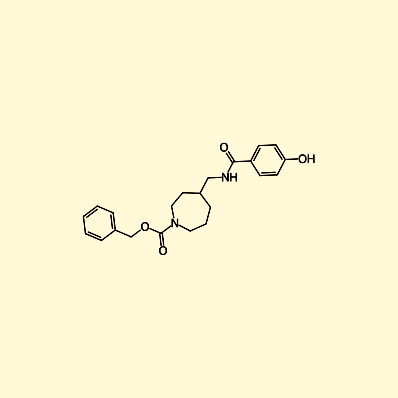 O=C(NCC1CCCN(C(=O)OCc2ccccc2)CC1)c1ccc(O)cc1